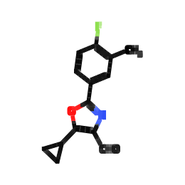 Cc1cc(-c2nc(C=O)c(C3CC3)o2)ccc1F